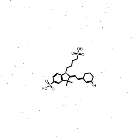 [2H]C1=C/C(=C/C=C2/N(CCCCS(=O)(=O)O)c3ccc(S(=O)(=O)O)cc3C2(C)C)CCC1